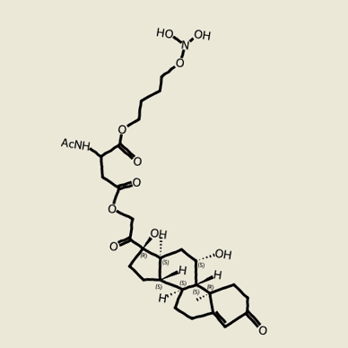 CC(=O)NC(CC(=O)OCC(=O)[C@@]1(O)CC[C@H]2[C@@H]3CCC4=CC(=O)CC[C@]4(C)[C@H]3[C@@H](O)C[C@@]21C)C(=O)OCCCCON(O)O